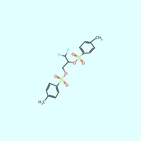 Cc1ccc(S(=O)(=O)OCC(OS(=O)(=O)c2ccc(C)cc2)C(F)F)cc1